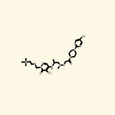 CC(CN(C)OCC(=O)N1CCN(c2ncc(C#N)cn2)CC1)Nc1cnn(COCC[Si](C)(C)C)c(=O)c1C(F)(F)F